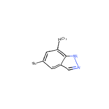 CC(C)(C)c1cc([N+](=O)[O-])c2[nH]ncc2c1